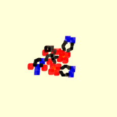 COC1C(n2ccc(=O)[nH]c2=O)OC(COP(=O)(OCCC#N)OCCC#N)(COP(=O)(OCCC#N)OCCC#N)[C@@H]1O